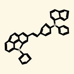 C(=C\c1cc2ccc3cccc4c3c2c(c1)n4-c1ccccc1)/c1ccc(N(c2ccccc2)c2cccc3ccccc23)cc1